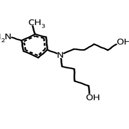 Cc1cc(N(CCCCO)CCCCO)ccc1N